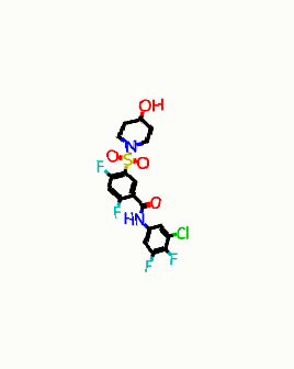 O=C(Nc1cc(F)c(F)c(Cl)c1)c1cc(S(=O)(=O)N2CCC(O)CC2)c(F)cc1F